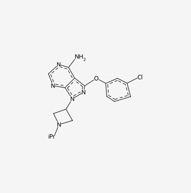 CC(C)N1CC(n2nc(Oc3cccc(Cl)c3)c3c(N)ncnc32)C1